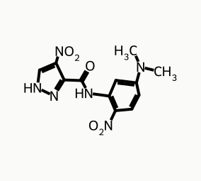 CN(C)c1ccc([N+](=O)[O-])c(NC(=O)c2n[nH]cc2[N+](=O)[O-])c1